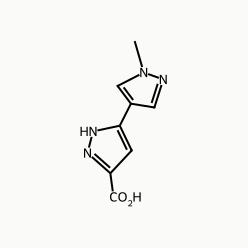 Cn1cc(-c2cc(C(=O)O)n[nH]2)cn1